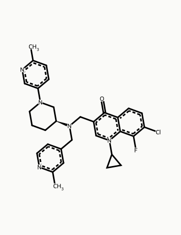 Cc1ccc(N2CCC[C@H](N(Cc3ccnc(C)c3)Cc3cn(C4CC4)c4c(F)c(Cl)ccc4c3=O)C2)cn1